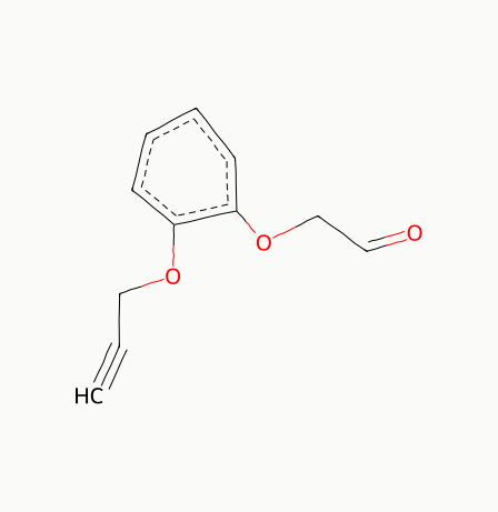 C#CCOc1ccccc1OCC=O